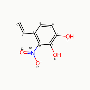 C=Cc1ccc(O)c(O)c1[N+](=O)[O-]